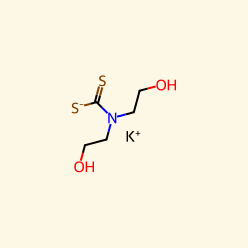 OCCN(CCO)C(=S)[S-].[K+]